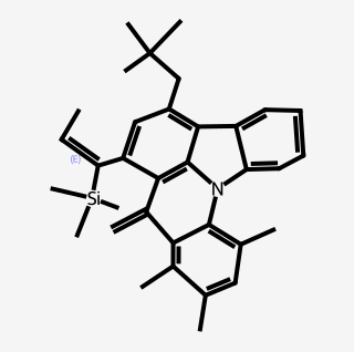 C=c1c2c(C)c(C)cc(C)c2n2c3ccccc3c3c(CC(C)(C)C)cc(/C(=C\C)[Si](C)(C)C)c1c32